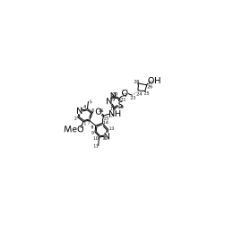 COc1cnc(C)cc1-c1cc(C)ncc1C(=O)Nc1nnc(OC[C@H]2C[C@H](O)C2)s1